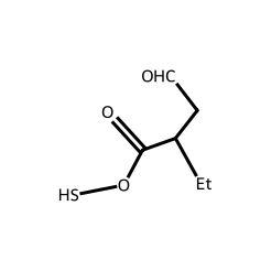 CCC(CC=O)C(=O)OS